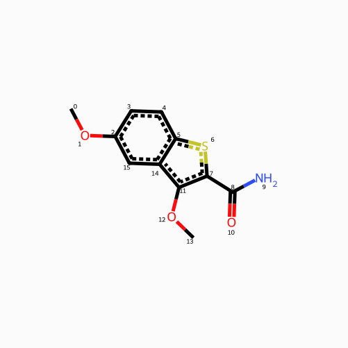 COc1ccc2sc(C(N)=O)c(OC)c2c1